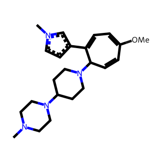 COC1=CC=C(c2ccn(C)c2)C(N2CCC(N3CCN(C)CC3)CC2)C=C1